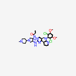 C=CC(=O)NC1CN(C2CCN(C)CC2)CC1Nc1ncc2c(n1)-c1cccnc1N(c1c(Cl)c(OC)cc(OC)c1Cl)C2